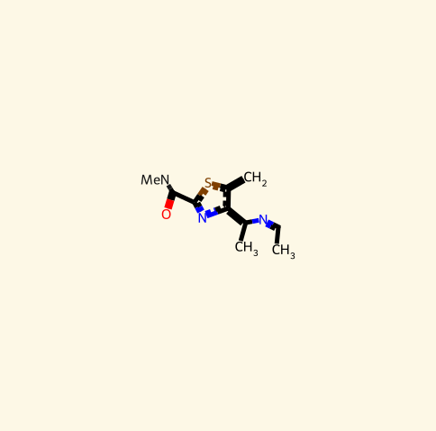 C=c1sc(C(=O)NC)n/c1=C(C)/N=C\C